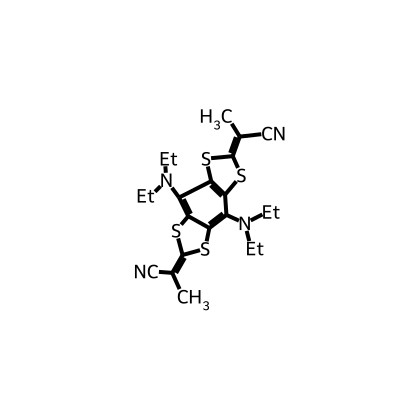 CCN(CC)c1c2c(c(N(CC)CC)c3c1SC(=C(C)C#N)S3)SC(=C(C)C#N)S2